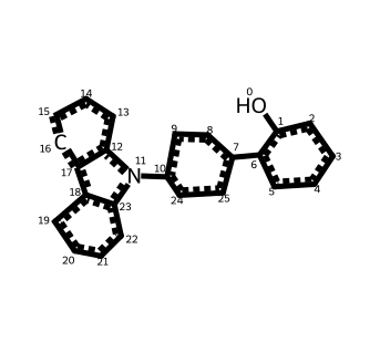 Oc1ccccc1-c1ccc(-n2c3ccccc3c3ccccc32)cc1